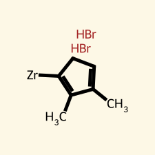 Br.Br.CC1=CC[C]([Zr])=C1C